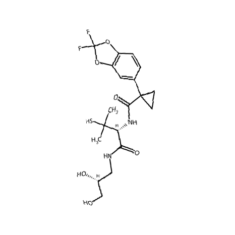 CC(C)(S)[C@H](NC(=O)C1(c2ccc3c(c2)OC(F)(F)O3)CC1)C(=O)NC[C@@H](O)CO